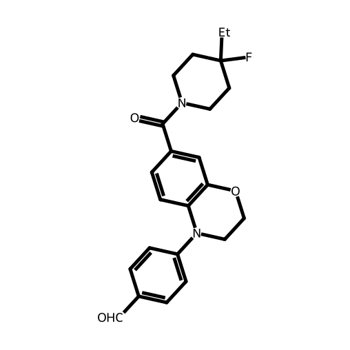 CCC1(F)CCN(C(=O)c2ccc3c(c2)OCCN3c2ccc(C=O)cc2)CC1